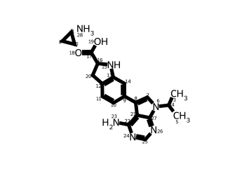 C1CC1.CC(C)n1cc(-c2ccc3c(c2)NC(C(=O)O)C3)c2c(N)ncnc21.N